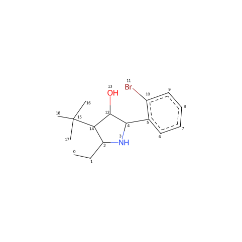 CCC1NC(c2ccccc2Br)C(O)C1C(C)(C)C